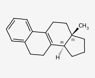 C[C@@]12CCC[C@H]1C1=C(CC2)c2ccccc2CC1